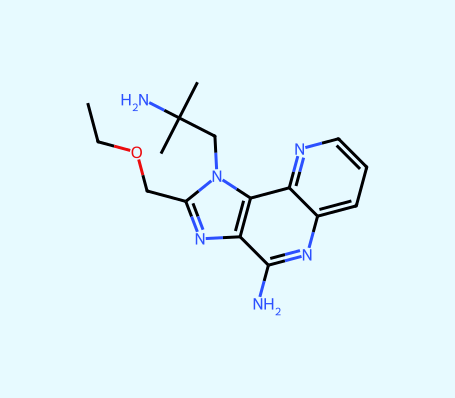 CCOCc1nc2c(N)nc3cccnc3c2n1CC(C)(C)N